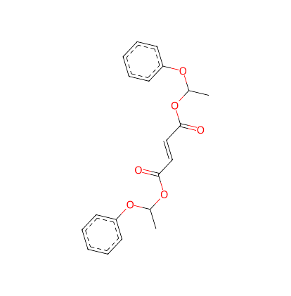 CC(OC(=O)/C=C/C(=O)OC(C)Oc1ccccc1)Oc1ccccc1